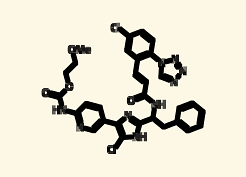 COCCOC(=O)Nc1ccc(-c2nc(C(Cc3ccccc3)NC(=O)C=Cc3cc(Cl)ccc3-n3cnnn3)[nH]c2Cl)cn1